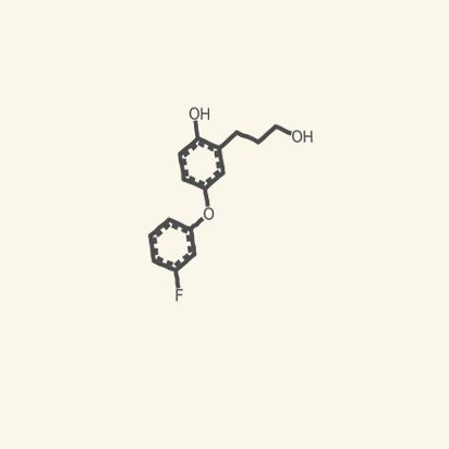 OCCCc1cc(Oc2cccc(F)c2)ccc1O